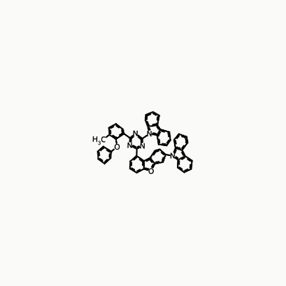 Cc1cccc(-c2nc(-c3cccc4oc5cc(-n6c7ccccc7c7ccccc76)ccc5c34)nc(-n3c4ccccc4c4ccccc43)n2)c1Oc1ccccc1